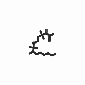 CCCCCCC(C)C(C)(C)OCCC(C)(C)NC(C)=O